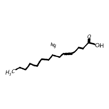 CCCCCCCCCC=CCCC(=O)O.[Ag]